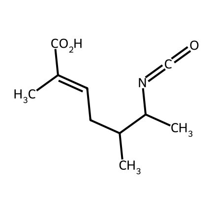 CC(=CCC(C)C(C)N=C=O)C(=O)O